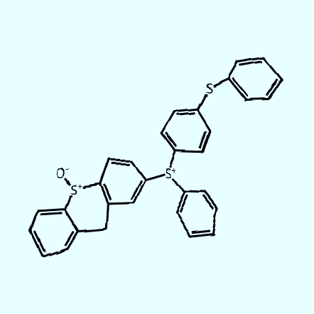 [O-][S+]1c2ccccc2Cc2cc([S+](c3ccccc3)c3ccc(Sc4ccccc4)cc3)ccc21